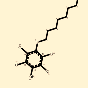 CCCCCCCCSc1c(Cl)c(Cl)c(O)c(Cl)c1Cl